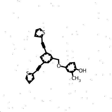 Cc1cc(OCc2cc(C#Cc3cccs3)cc(C#Cc3cccs3)c2)ccc1O